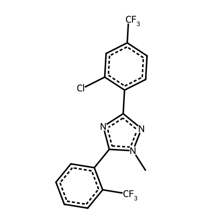 Cn1nc(-c2ccc(C(F)(F)F)cc2Cl)nc1-c1ccccc1C(F)(F)F